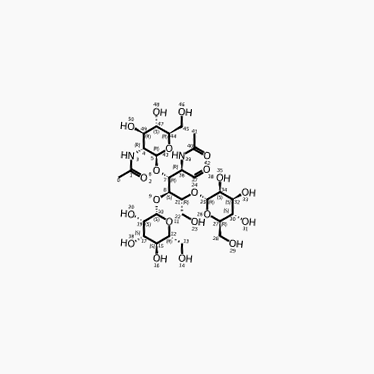 CC(=O)N[C@H]1[C@H](O[C@@H]([C@H](O[C@@H]2O[C@H](CO)[C@@H](O)[C@H](O)[C@@H]2O)[C@@H](CO)O[C@H]2O[C@H](CO)[C@@H](O)[C@H](O)[C@@H]2O)[C@H](C=O)NC(C)=O)O[C@H](CO)[C@@H](O)[C@@H]1O